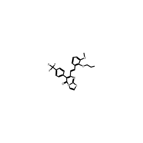 CCCOc1c(C=Cc2nc3sccn3c(=O)c2-c2ccc(C(F)(F)F)cc2)cccc1OC